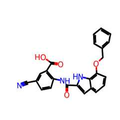 N#Cc1ccc(NC(=O)c2cc3cccc(OCc4ccccc4)c3[nH]2)c(C(=O)O)c1